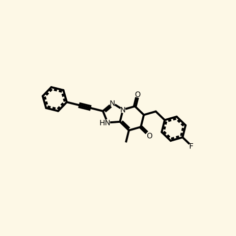 CC1=C2NC(C#Cc3ccccc3)=NN2C(=O)C(Cc2ccc(F)cc2)C1=O